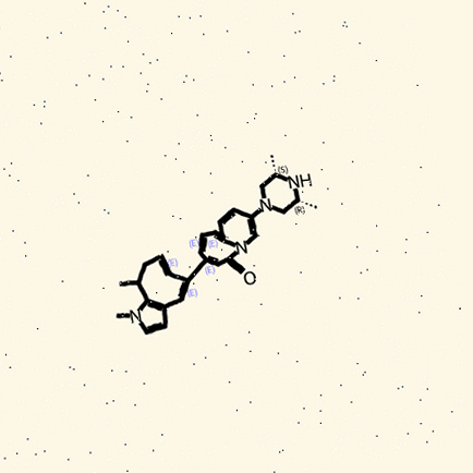 CC1C/C=C/C(C2=C/C(=O)N3C=C(N4C[C@@H](C)N[C@@H](C)C4)C=C/C3=C\C=C\2)=C\c2ccn(C)c21